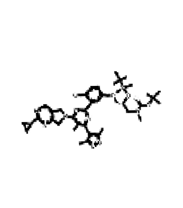 Cc1noc(C)c1-c1nc(-c2cc(OC[C@@H](CN(C)C(=O)OC(C)(C)C)O[Si](C)(C)C(C)(C)C)ccc2Cl)nc(N2Cc3cnc(C4CC4)nc3C2)c1C